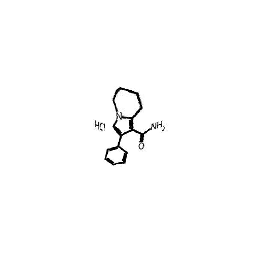 Cl.NC(=O)c1c(-c2ccccc2)cn2c1CCCC2